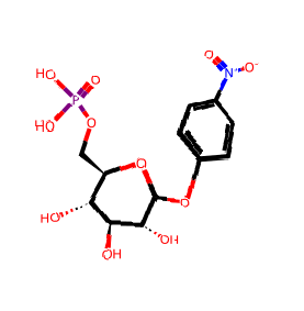 O=[N+]([O-])c1ccc(OC2O[C@H](COP(=O)(O)O)[C@@H](O)[C@H](O)[C@H]2O)cc1